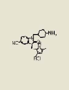 Cc1cc(C)c(/C=C2\C(=O)N(CC3CCC(N)CC3)c3ccc(C#N)cc32)[nH]1.Cl